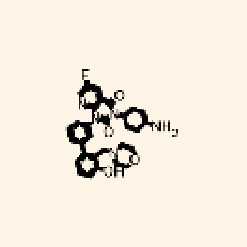 NC1CCC(n2c(=O)c3cc(F)cnc3n(-c3cccc(-c4cccc(O)c4CN4CCOCC4)c3)c2=O)CC1